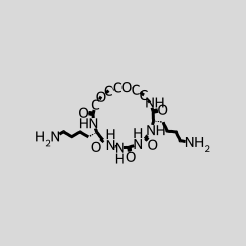 NCCCC[C@@H]1NC(=O)COCCOCCNC(=O)[C@H](CCCCN)NC(=O)NC(=O)NNC1=O